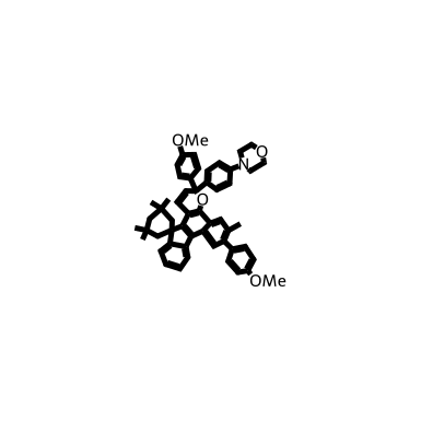 COc1ccc(-c2cc3c4c(c5c(c3cc2C)OC(c2ccc(OC)cc2)(c2ccc(N3CCOCC3)cc2)C=C5)C2(CC(C)(C)CC(C)(C)C2)c2ccccc2-4)cc1